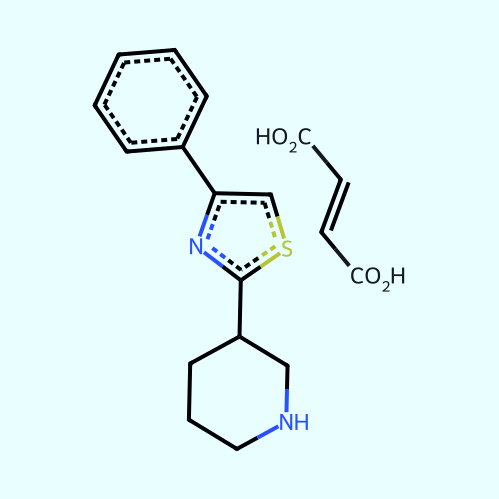 O=C(O)C=CC(=O)O.c1ccc(-c2csc(C3CCCNC3)n2)cc1